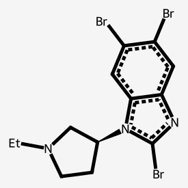 CCN1CC[C@H](n2c(Br)nc3cc(Br)c(Br)cc32)C1